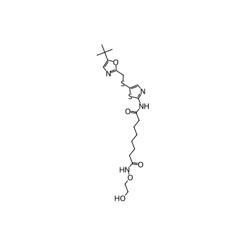 CC(C)(C)c1cnc(CSc2cnc(NC(=O)CCCCCCC(=O)NOCCO)s2)o1